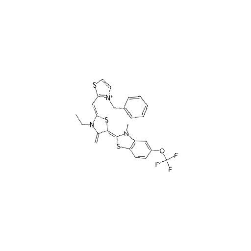 C=C1/C(=C2\Sc3ccc(OC(F)(F)F)cc3N2C)S/C(=C\c2scc[n+]2Cc2ccccc2)N1CC